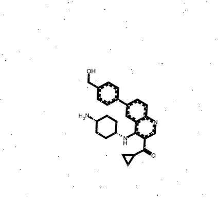 N[C@H]1CC[C@H](Nc2c(C(=O)C3CC3)cnc3ccc(-c4ccc(CO)cc4)cc23)CC1